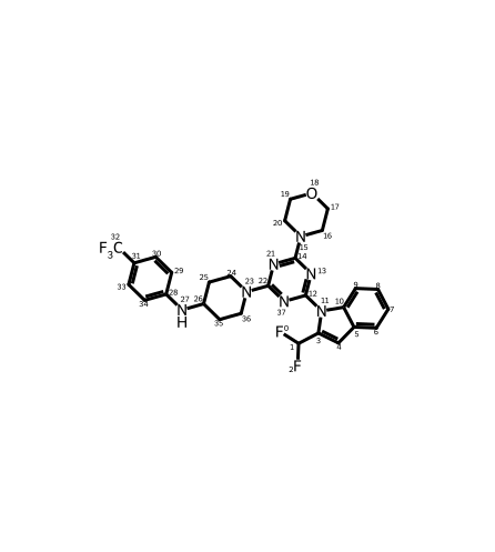 FC(F)c1cc2ccccc2n1-c1nc(N2CCOCC2)nc(N2CCC(Nc3ccc(C(F)(F)F)cc3)CC2)n1